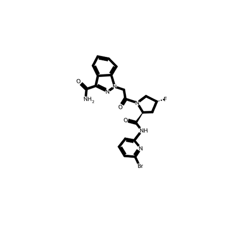 NC(=O)c1nn(CC(=O)N2C[C@H](F)C[C@H]2C(=O)Nc2cccc(Br)n2)c2ccccc12